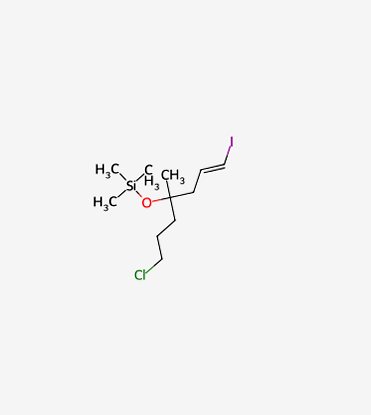 CC(C/C=C/I)(CCCCl)O[Si](C)(C)C